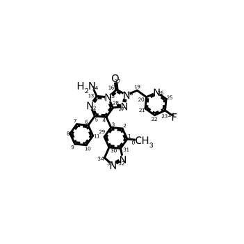 Cc1cc(-c2c(-c3ccccc3)nc(N)n3c(=O)n(Cc4ccc(F)cn4)nc23)cc2c1N=NC2